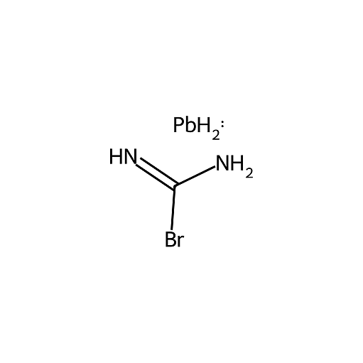 N=C(N)Br.[PbH2]